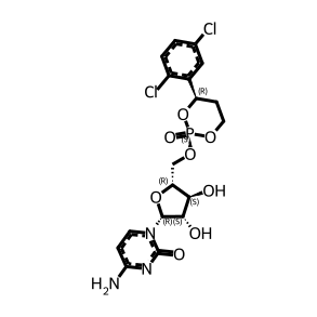 Nc1ccn([C@@H]2O[C@H](CO[P@]3(=O)OCC[C@H](c4cc(Cl)ccc4Cl)O3)[C@@H](O)[C@@H]2O)c(=O)n1